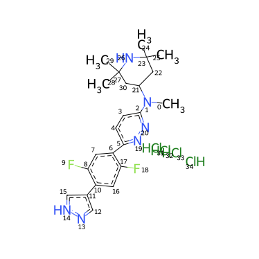 CN(c1ccc(-c2cc(F)c(-c3cn[nH]c3)cc2F)nn1)C1CC(C)(C)NC(C)(C)C1.Cl.Cl.Cl.Cl